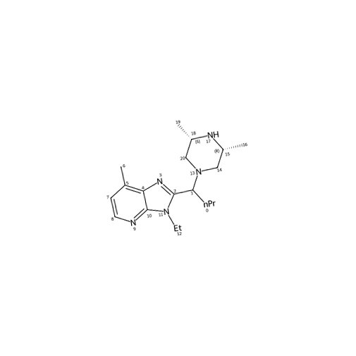 CCCC(c1nc2c(C)ccnc2n1CC)N1C[C@@H](C)N[C@@H](C)C1